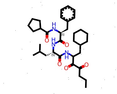 CCCC(=O)C(=O)C(CC1CCCCC1)NC(=O)[C@H](CC(C)C)NC(=O)[C@H](Cc1ccccc1)NC(=O)C1CCCC1